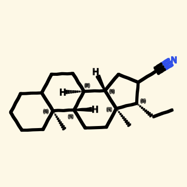 CC[C@H]1C(C#N)C[C@H]2[C@@H]3CCC4CCCC[C@]4(C)[C@H]3CC[C@]12C